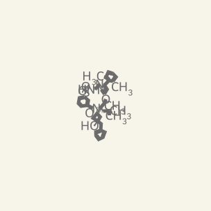 Cc1cccc(C)c1-c1cc2nc(n1)NS(=O)(=O)c1cccc(c1)C(=O)N([C@H]1C[C@@](O)(Cc3ccccc3)C1)[C@H](CC(C)(C)C)CO2